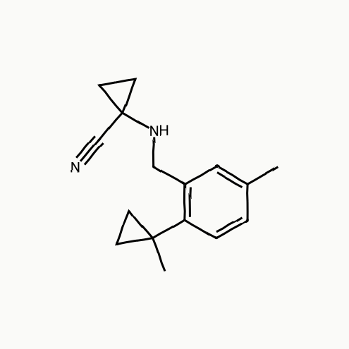 Cc1ccc(C2(C)CC2)c(CNC2(C#N)CC2)c1